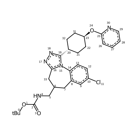 CC(C)(C)OC(=O)NCC1Cc2cc(Cl)ccc2-n2c(nnc2[C@H]2CC[C@H](Oc3ccccn3)CC2)C1